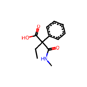 CCC(C(=O)O)(C(=O)NC)c1ccccc1